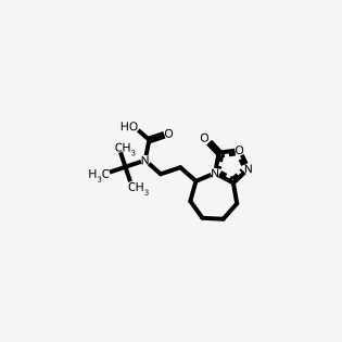 CC(C)(C)N(CCC1CCCCc2noc(=O)n21)C(=O)O